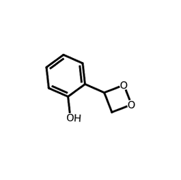 Oc1ccccc1C1COO1